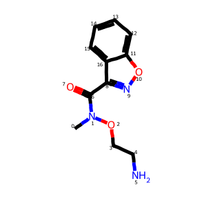 CN(OCCN)C(=O)c1noc2ccccc12